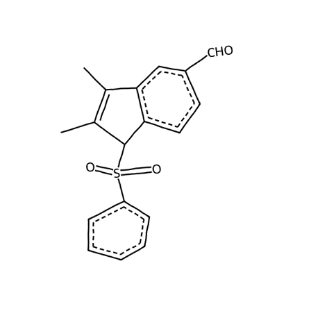 CC1=C(C)C(S(=O)(=O)c2ccccc2)c2ccc(C=O)cc21